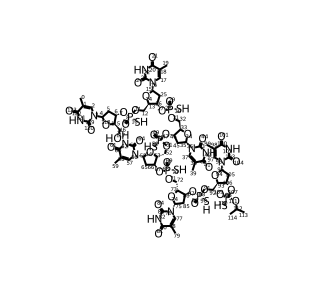 Cc1cn(C2C[C@H](O[P@](=O)(S)OC[C@H]3O[C@@H](n4cc(C)c(=O)[nH]c4=O)C[C@@H]3O[P@](=O)(S)OC[C@H]3O[C@@H](n4cc(C)c(=O)[nH]c4=O)C[C@@H]3O[P@](=O)(S)OC[C@H]3O[C@@H](n4cc(C)c(=O)[nH]c4=O)C[C@@H]3O[P@](=O)(S)OC[C@H]3O[C@@H](n4cc(C)c(=O)[nH]c4=O)C[C@@H]3O[P@](=O)(S)OC[C@H]3O[C@@H](n4cc(C)c(=O)[nH]c4=O)C[C@@H]3O[P@](=O)(S)OC(C)C)[C@@H](CO)O2)c(=O)[nH]c1=O